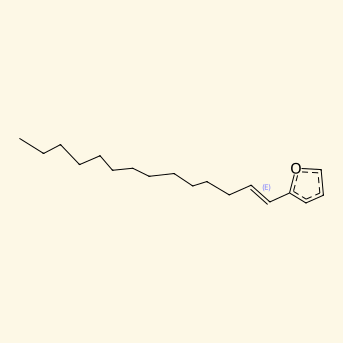 CCCCCCCCCCCC/C=C/c1ccco1